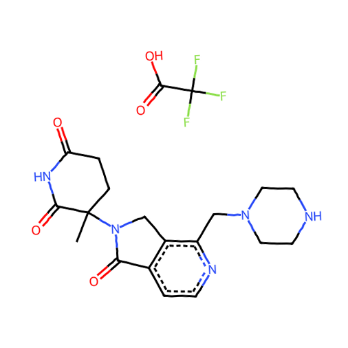 CC1(N2Cc3c(ccnc3CN3CCNCC3)C2=O)CCC(=O)NC1=O.O=C(O)C(F)(F)F